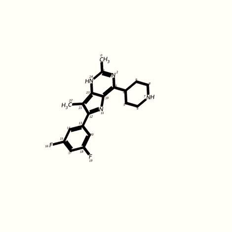 Cc1nc(C2CCNCC2)c2nc(-c3cc(F)cc(F)c3)c(C)c-2[nH]1